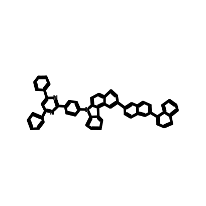 c1ccc(-c2cc(-c3ccccc3)nc(-c3ccc(-n4c5ccccc5c5c6cc(-c7ccc8cc(-c9cccc%10ccccc9%10)ccc8c7)ccc6ccc54)cc3)n2)cc1